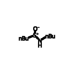 CCCCN[S+]([O-])CCCC